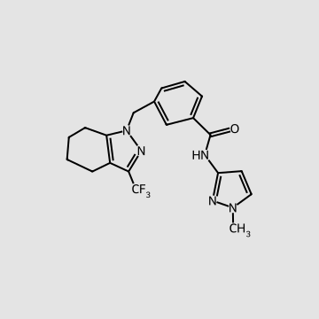 Cn1ccc(NC(=O)c2cccc(Cn3nc(C(F)(F)F)c4c3CCCC4)c2)n1